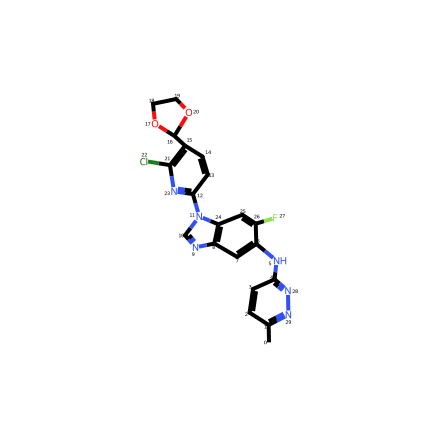 Cc1ccc(Nc2cc3ncn(-c4ccc(C5OCCO5)c(Cl)n4)c3cc2F)nn1